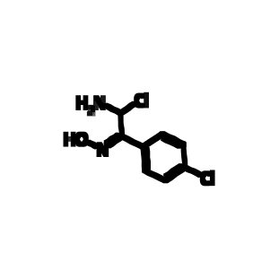 NC(Cl)C(=NO)c1ccc(Cl)cc1